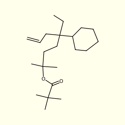 C=CCC(CC)(CCC(C)(C)OC(=O)C(C)(C)C)C1CCCCC1